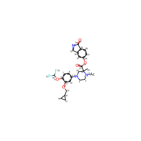 CC(=O)N1CCN(c2ccc(OC(F)F)c(OCC3CC3)c2)CC1(C)C(=O)Oc1ccc2c(c1)C=NC2=O